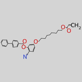 C=CC(=O)OCCCCCCCCCOc1ccc(C#N)c(OC(=O)c2ccc(-c3ccccc3)cc2)c1